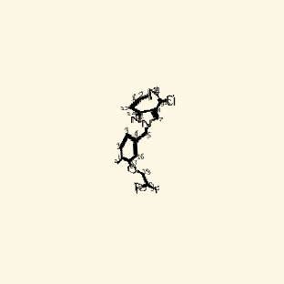 Cc1ccc(Cn2cc3c(Cl)nccc3n2)cc1OCC(F)F